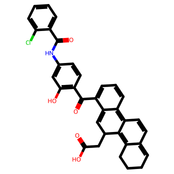 O=C(O)CC1C=c2c(C(=O)c3ccc(NC(=O)c4ccccc4Cl)cc3O)cccc2=c2ccc3c(c21)CCCC=3